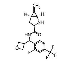 C=C1[C@H]2N[C@@H](C(=O)N[C@@H](c3ccc(C(F)(F)F)cc3F)C3COC3)C[C@@H]12